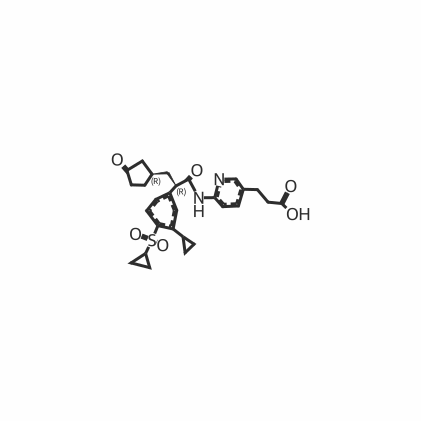 O=C(O)CCc1ccc(NC(=O)[C@H](C[C@H]2CCC(=O)C2)c2ccc(S(=O)(=O)C3CC3)c(C3CC3)c2)nc1